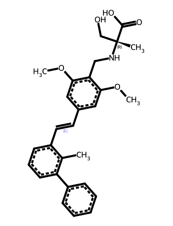 COc1cc(/C=C/c2cccc(-c3ccccc3)c2C)cc(OC)c1CN[C@](C)(CO)C(=O)O